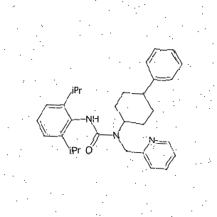 CC(C)c1cccc(C(C)C)c1NC(=O)N(Cc1ccccn1)C1CCC(c2ccccc2)CC1